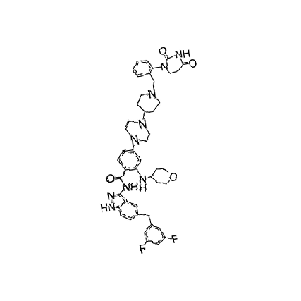 O=C1CCN(c2ccccc2CN2CCC(N3CCN(c4ccc(C(=O)Nc5n[nH]c6ccc(Cc7cc(F)cc(F)c7)cc56)c(NC5CCOCC5)c4)CC3)CC2)C(=O)N1